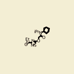 CC[S+]([O-])c1nsc(OCC(=O)N(c2ccccc2)C(C)C)n1